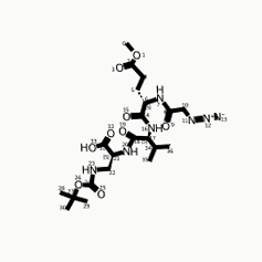 COC(=O)CC[C@H](NC(=O)CN=[N+]=[N-])C(=O)N[C@H](C(=O)N[C@@H](CNC(=O)OC(C)(C)C)C(=O)O)C(C)C